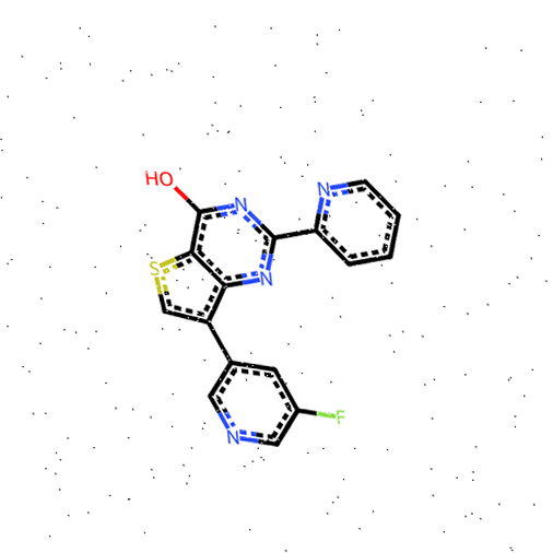 Oc1nc(-c2ccccn2)nc2c(-c3cncc(F)c3)csc12